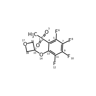 CS(=O)(=O)c1c(F)c(F)c(F)c(F)c1OC1COC1